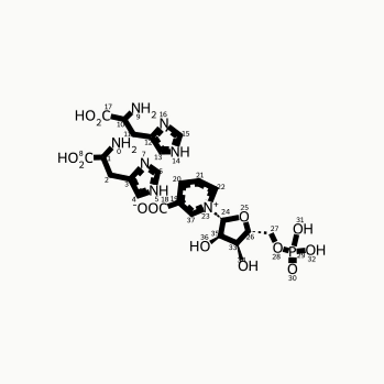 NC(Cc1c[nH]cn1)C(=O)O.NC(Cc1c[nH]cn1)C(=O)O.O=C([O-])c1ccc[n+]([C@@H]2O[C@H](COP(=O)(O)O)[C@@H](O)[C@H]2O)c1